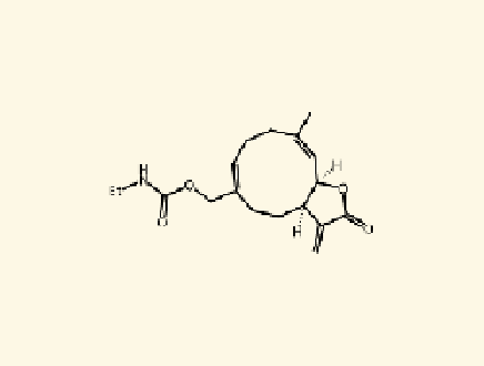 C=C1C(=O)O[C@@H]2C=C(C)CCC=C(COC(=O)NCC)CC[C@H]12